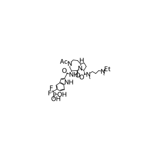 CCN(C)CCCN(C)C(=O)[C@@H]1CC[C@@H]2CCN(C(C)=O)C[C@H](NC(=O)c3cc4cc(C(F)(F)P(O)O)ccc4[nH]3)C(=O)N21